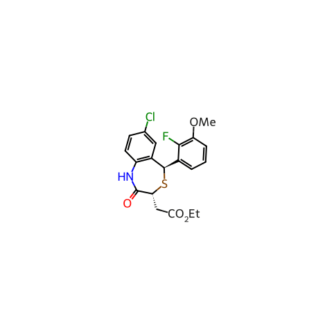 CCOC(=O)C[C@H]1S[C@H](c2cccc(OC)c2F)c2cc(Cl)ccc2NC1=O